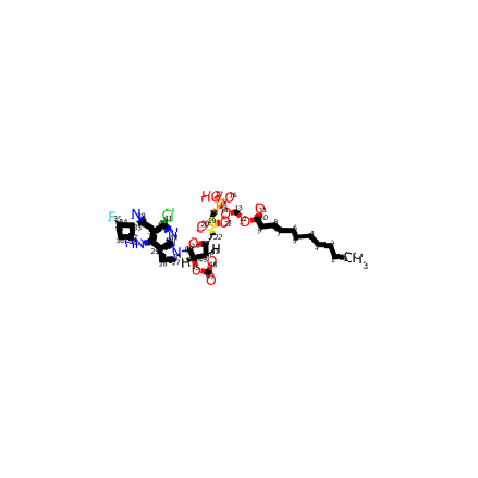 CCCCCCCCCCC(=O)OCOP(=O)(O)CS(=O)(=O)C[C@H]1O[C@@H](n2ccc3c(N[C@H]4C[C@@H](F)C4)c(C#N)c(Cl)nc32)[C@@H]2OC(=O)O[C@@H]21